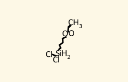 CC=CC(=O)OCCCCCC[SiH2]C(Cl)Cl